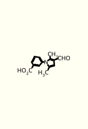 Cc1cc(C=O)c(C)n1-c1cccc(C(=O)O)c1